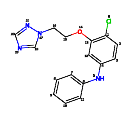 Clc1ccc(Nc2ccccc2)cc1OCCn1cncn1